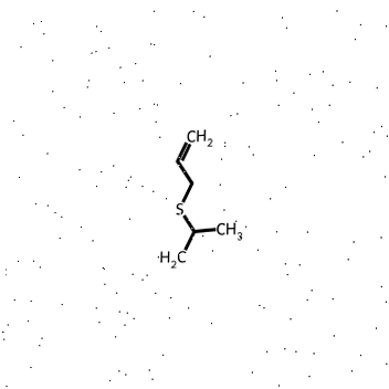 [CH2]C(C)SCC=C